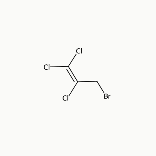 ClC(Cl)=C(Cl)CBr